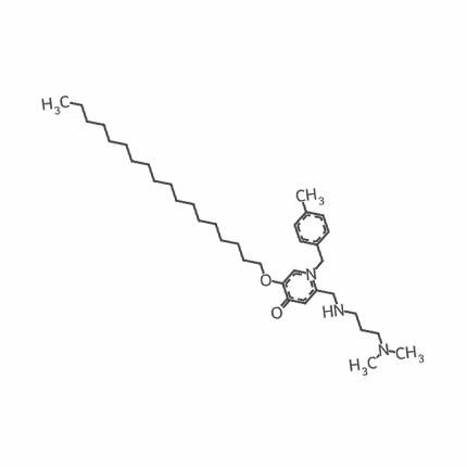 CCCCCCCCCCCCCCCCCCOc1cn(Cc2ccc(C)cc2)c(CNCCCN(C)C)cc1=O